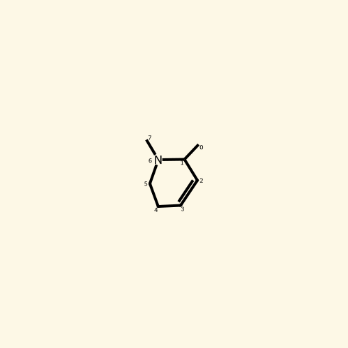 CC1C=CCCN1C